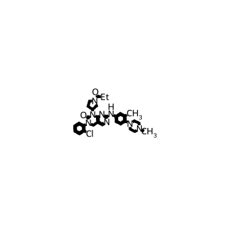 CCC(=O)N1CCC(N2C(=O)N(c3ccccc3Cl)Cc3cnc(Nc4ccc(N5CCN(C)CC5)c(C)c4)nc32)C1